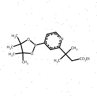 CCOC(=O)CC(C)(C)c1cc(B2OC(C)(C)C(C)(C)O2)ccn1